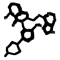 COc1ccc(C2CCC(C)CC2)cc1-n1c(CSc2ncnc3[nH]cnc23)nc2cccc(Cl)c2c1=O